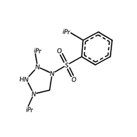 CC(C)c1ccccc1S(=O)(=O)N1CN(C(C)C)NN1C(C)C